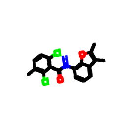 Cc1ccc(Cl)c(C(=O)Nc2cccc3c(C)c(C)oc23)c1Cl